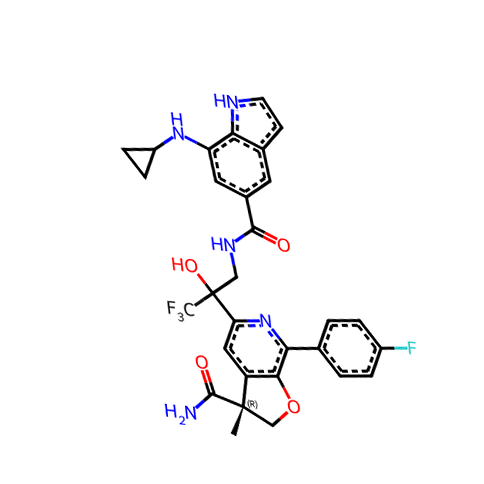 C[C@]1(C(N)=O)COc2c1cc(C(O)(CNC(=O)c1cc(NC3CC3)c3[nH]ccc3c1)C(F)(F)F)nc2-c1ccc(F)cc1